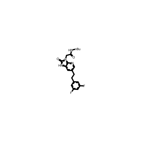 CCCCNC(=O)Cn1c(=O)[nH]c2cc(CCc3cc(F)cc(F)c3)cnc21